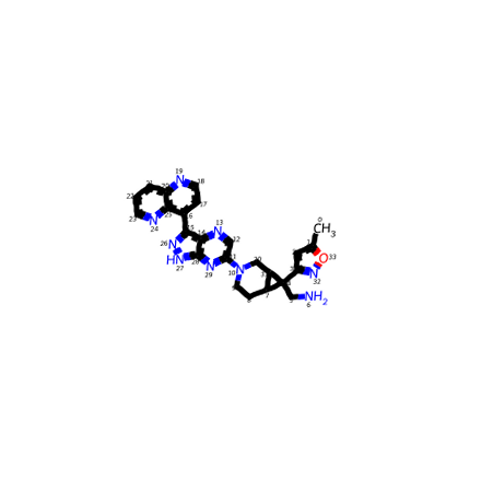 Cc1cc(C2(CN)C3CCN(c4cnc5c(-c6ccnc7cccnc67)n[nH]c5n4)CC32)no1